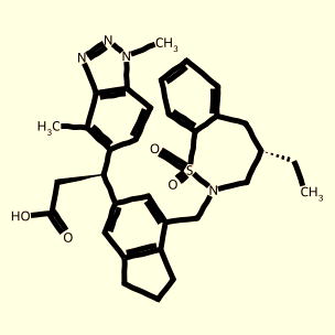 CC[C@H]1Cc2ccccc2S(=O)(=O)N(Cc2cc([C@@H](CC(=O)O)c3ccc4c(nnn4C)c3C)cc3c2CCC3)C1